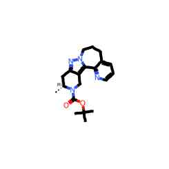 C[C@@H]1Cc2nn3c(c2CN1C(=O)OC(C)(C)C)-c1ncccc1CCC3